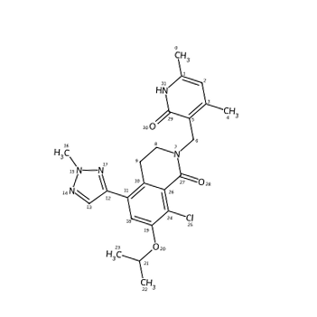 Cc1cc(C)c(CN2CCc3c(-c4cnn(C)n4)cc(OC(C)C)c(Cl)c3C2=O)c(=O)[nH]1